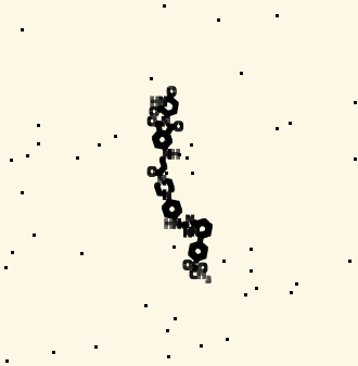 CS(=O)(=O)c1ccc(-c2cccc3nc(Nc4ccc(N5CCN(C(=O)CCNc6ccc7c(c6)C(=O)N(C6CCC(=O)NC6=O)C7=O)CC5)cc4)nn23)cc1